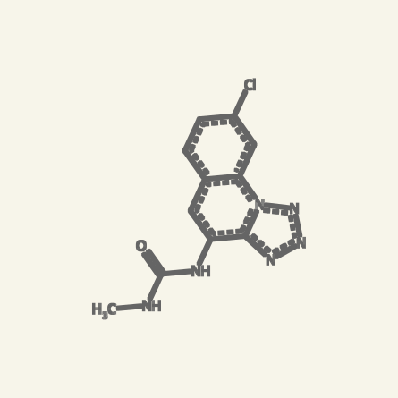 CNC(=O)Nc1cc2ccc(Cl)cc2n2nnnc12